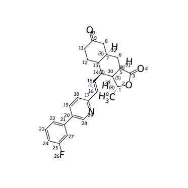 C[C@H]1OC(=O)[C@@H]2C[C@@H]3CC(=O)CCC3[C@H](/C=C/c3ccc(-c4cccc(F)c4)cn3)[C@H]12